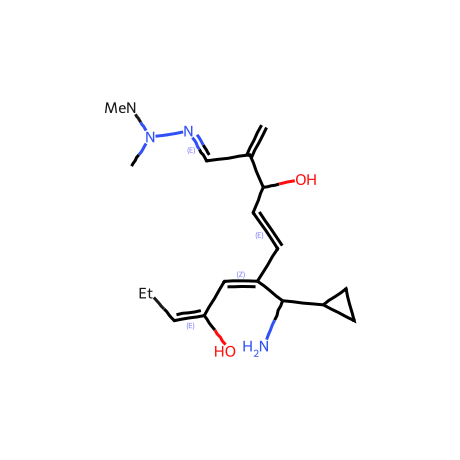 C=C(/C=N/N(C)NC)C(O)/C=C/C(=C/C(O)=C\CC)C(N)C1CC1